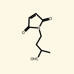 CC(C=O)CCN1C(=O)C=CC1=O